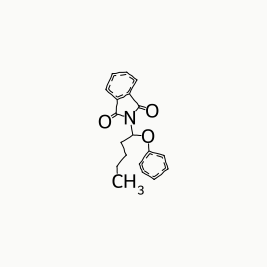 CCCCC(Oc1ccccc1)N1C(=O)c2ccccc2C1=O